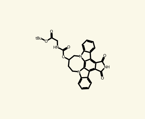 CC(C)(C)OC(=O)CNC(=O)OC1CCn2c3ccccc3c3c4c(c5c6ccccc6n(c5c32)C1)C(=O)NC4=O